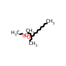 CCCCCCCCCCC(CCC)(CCC)OOOCCC